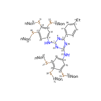 [CH2]Cc1ccc(-c2nc(Nc3cc(SCCCCCCCCC)c(SCCCCCCCCC)c(SCCCCCCCCC)c3)nc(Nc3cc(SCCCCCCCCC)c(SCCCCCCCCC)c(SCCCCCCCCC)c3)n2)cc1